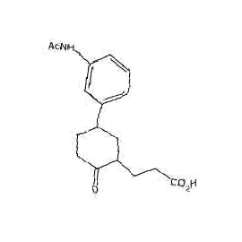 CC(=O)Nc1cccc(C2CCC(=O)C(CCC(=O)O)C2)c1